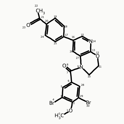 COc1c(Br)cc(C(=O)N2CCOc3ncc(-c4ccc(C(C)=O)cc4)cc32)cc1Br